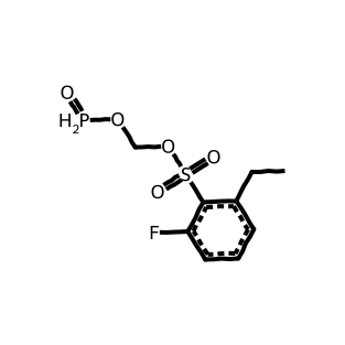 CCc1cccc(F)c1S(=O)(=O)OCO[PH2]=O